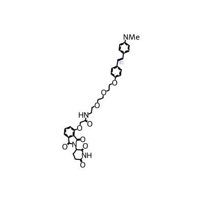 CNc1ccc(/C=C/c2ccc(OCCOCCOCCNC(=O)COc3cccc4c3C(=O)N(C3CCC(=O)NC3=O)C4=O)cc2)cc1